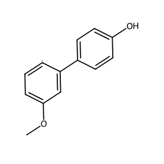 COc1cc[c]c(-c2ccc(O)cc2)c1